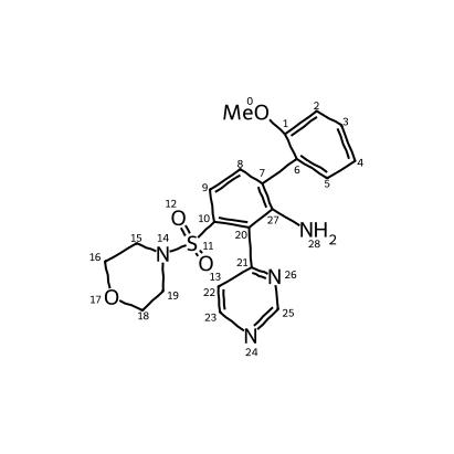 COc1ccccc1-c1ccc(S(=O)(=O)N2CCOCC2)c(-c2ccncn2)c1N